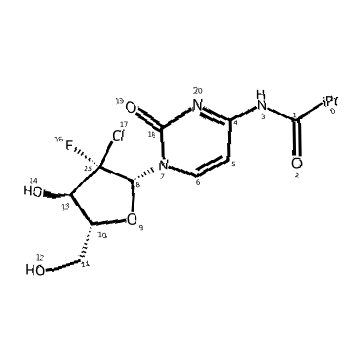 CC(C)C(=O)Nc1ccn([C@@H]2O[C@H](CO)[C@@H](O)[C@@]2(F)Cl)c(=O)n1